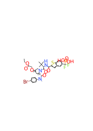 CCOC(=O)CO[C@H]1C[C@@H](C(=O)N(C)c2ccc(Br)cc2)N(C(=O)C(NC(=O)c2cc3cc(C(F)(F)P(=O)(O)O)ccc3s2)C(C)(C)C)C1